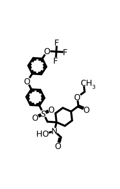 CCOC(=O)C1CCC(CS(=O)(=O)c2ccc(Oc3ccc(OC(F)(F)F)cc3)cc2)(N(O)C=O)CC1